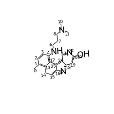 Cc1ccc(NCCCN(C)C)c2c1CC=C1N=c3cc(O)ncc3=C12